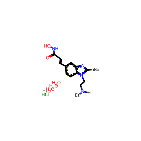 CCCCc1nc2cc(C=CC(=O)NO)ccc2n1CCN(CC)CC.Cl.Cl.O.O.O